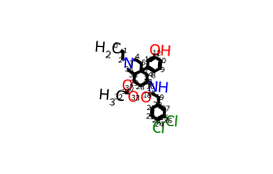 C=CCN1CCC2(c3cccc(O)c3)C[C@@H](NC(=O)Cc3ccc(Cl)c(Cl)c3)CC(OC(C)=O)C2C1